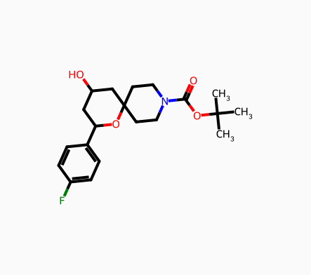 CC(C)(C)OC(=O)N1CCC2(CC1)CC(O)CC(c1ccc(F)cc1)O2